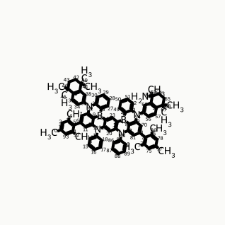 Cc1cc(C)c(-c2cc3c4c(c2)N(c2ccccc2)c2cc5c(cc2B4c2ccccc2N3c2ccc3c(c2)C(C)(C)CCC3(C)C)B2c3ccccc3N(c3ccc4c(c3)C(C)(N)CCC4(C)C)c3cc(-c4c(C)cc(C)cc4C)cc(c32)N5c2ccccc2)c(C)c1